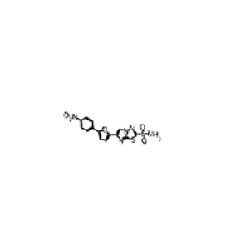 NS(=O)(=O)c1nn2cc(-c3ccc(-c4ccc([N+](=O)[O-])cc4)o3)nc2s1